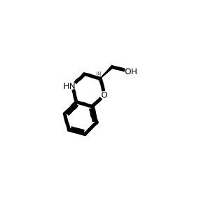 OC[C@@H]1CNc2ccccc2O1